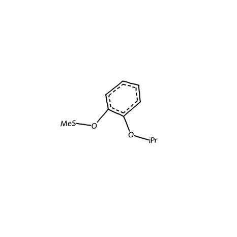 CSOc1ccccc1OC(C)C